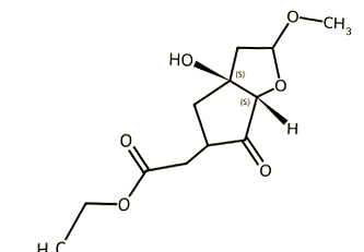 CCOC(=O)CC1C[C@]2(O)CC(OC)O[C@@H]2C1=O